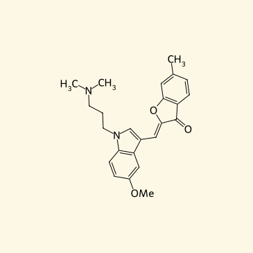 COc1ccc2c(c1)c(/C=C1\Oc3cc(C)ccc3C1=O)cn2CCCN(C)C